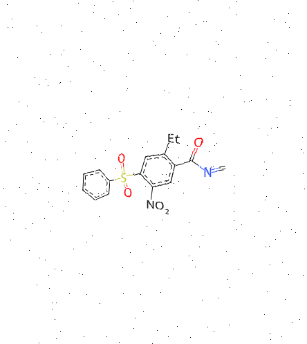 C=NC(=O)c1cc([N+](=O)[O-])c(S(=O)(=O)c2ccccc2)cc1CC